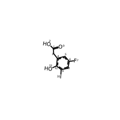 O=C(O)Cc1cc(F)cc(I)c1O